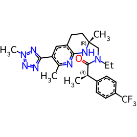 CCN(C[C@@]1(C)CCc2cc(-c3nnn(C)n3)c(C)nc2N1)C(=O)[C@H](C)c1ccc(C(F)(F)F)cc1